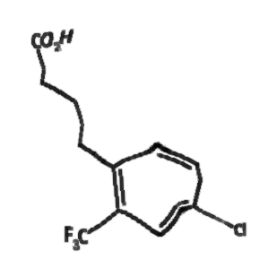 O=C(O)CCCc1ccc(Cl)cc1C(F)(F)F